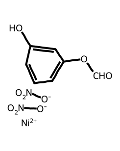 O=COc1cccc(O)c1.O=[N+]([O-])[O-].O=[N+]([O-])[O-].[Ni+2]